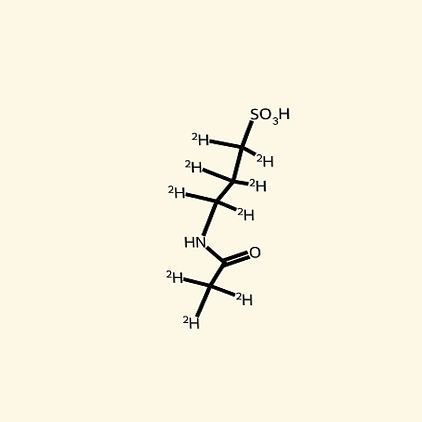 [2H]C([2H])([2H])C(=O)NC([2H])([2H])C([2H])([2H])C([2H])([2H])S(=O)(=O)O